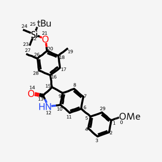 COc1cccc(-c2ccc3c(c2)NC(=O)C3c2cc(C)c(O[Si](C)(C)C(C)(C)C)c(C)c2)c1